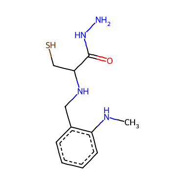 CNc1ccccc1CNC(CS)C(=O)NN